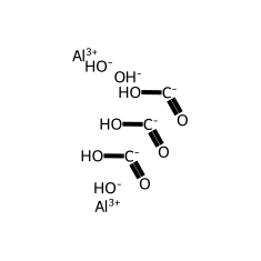 O=[C-]O.O=[C-]O.O=[C-]O.[Al+3].[Al+3].[OH-].[OH-].[OH-]